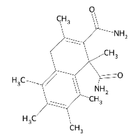 CC1=C(C(N)=O)C(C)(C(N)=O)c2c(C)c(C)c(C)c(C)c2C1